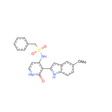 COc1ccc2[nH]c(-c3c(NS(=O)(=O)Cc4ccccc4)cc[nH]c3=O)cc2c1